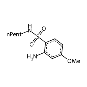 CCCCCNS(=O)(=O)c1ccc(OC)cc1N